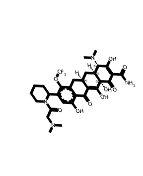 CN(C)CC(=O)N1CCCCC1c1cc(O)c2c(c1OC(F)(F)F)C[C@H]1C[C@H]3[C@H](N(C)C)C(O)=C(C(N)=O)C(=O)[C@@]3(O)C(O)=C1C2=O